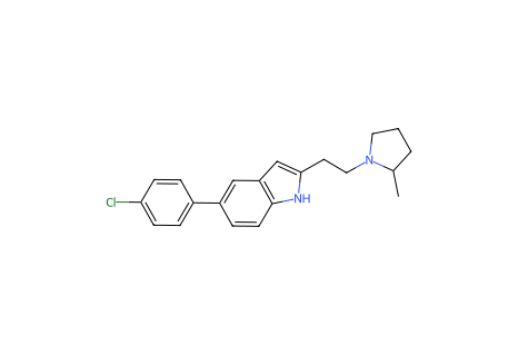 CC1CCCN1CCc1cc2cc(-c3ccc(Cl)cc3)ccc2[nH]1